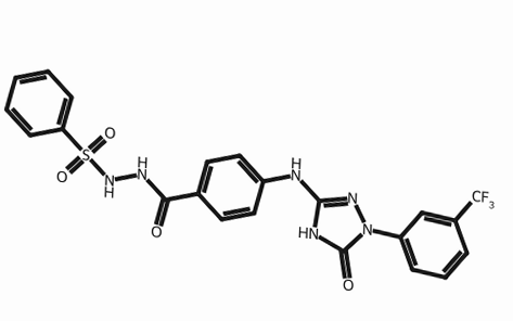 O=C(NNS(=O)(=O)c1ccccc1)c1ccc(Nc2nn(-c3cccc(C(F)(F)F)c3)c(=O)[nH]2)cc1